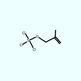 C=C(C)CO[Si](Cl)(Cl)Cl